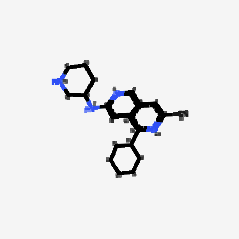 N#Cc1cc2cnc(NC3CCCNC3)cc2c(C2CCCCC2)n1